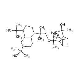 CC1C2CC1C(C(C)(C)OCC(C)(C)C1CCC(C(C)(C)O)C3CC(C(C)(C)O)CCC31)C2C(C)(C)O